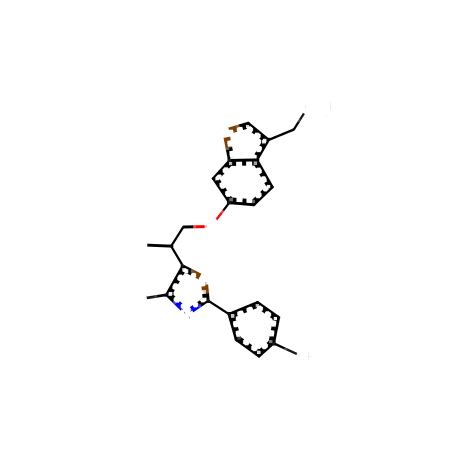 CC(C)c1nc(-c2ccc(C(F)(F)F)cc2)sc1C(C)COc1ccc2c(CC(=O)O)csc2c1